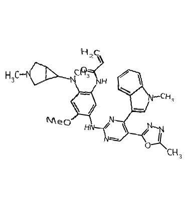 C=CC(=O)Nc1cc(Nc2ncc(-c3nnc(C)o3)c(-c3cn(C)c4ccccc34)n2)c(OC)cc1N(C)C1C2CN(C)CC21